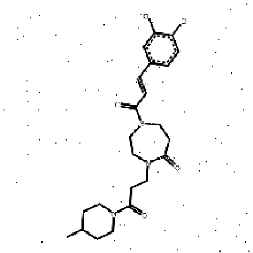 CC1CCN(C(=O)CCN2CCN(C(=O)/C=C/c3ccc(Cl)c(Cl)c3)CCC2=O)CC1